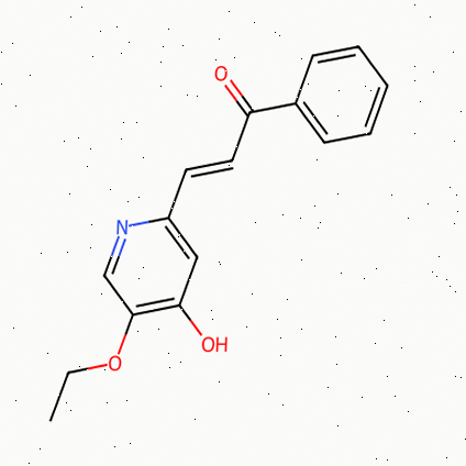 CCOc1cnc(/C=C/C(=O)c2ccccc2)cc1O